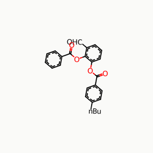 CCCCc1ccc(C(=O)Oc2cccc(C=O)c2OC(=O)c2ccccc2)cc1